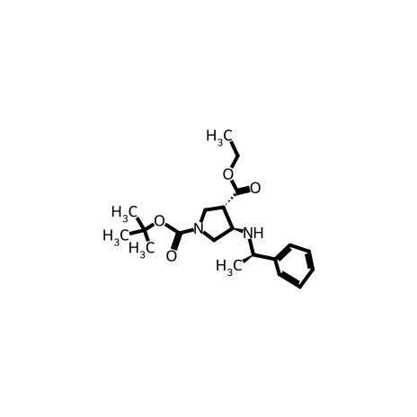 CCOC(=O)[C@H]1CN(C(=O)OC(C)(C)C)C[C@@H]1N[C@H](C)c1ccccc1